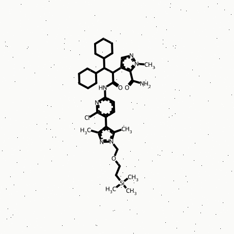 Cc1nn(COCC[Si](C)(C)C)c(C)c1-c1ccc(NC(=O)C(c2cnn(C)c2C(N)=O)C(C2CCCCC2)C2CCCCC2)nc1Cl